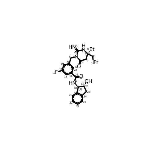 CC[C@]1(CC(C)C)CC(=O)N(Cc2cc(F)cc(C(=O)N[C@@H]3c4ccccc4C[C@H]3O)c2)C(=N)N1